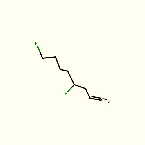 C=CCC(F)CCCCF